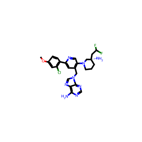 COc1ccc(-c2cc(Cn3cnc4c(N)ncnc43)c(N3CCC[C@](N)(CC(F)F)C3)cn2)c(Cl)c1